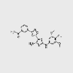 COc1cc(Nc2nc(N)c(-c3nc(-c4cccc(C(N)=O)c4)no3)s2)cc(OC)c1OC